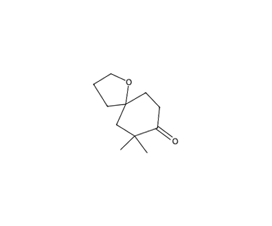 CC1(C)CC2(CCCO2)CCC1=O